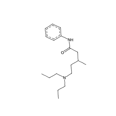 CCCN(CCC)CCC(C)CC(=O)Nc1ccccc1